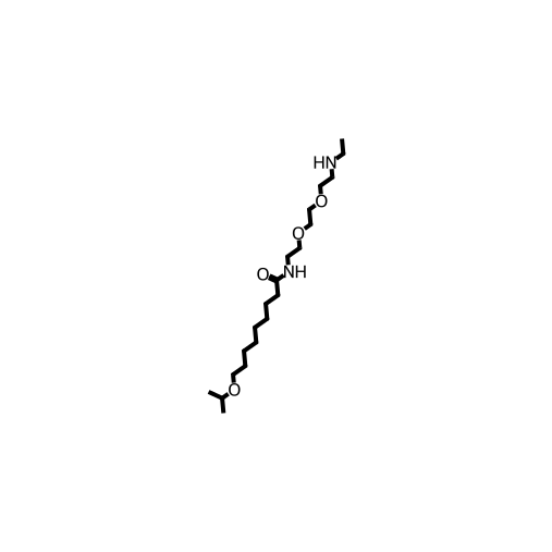 CCNCCOCCOCCNC(=O)CCCCCCCCOC(C)C